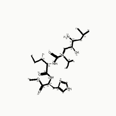 CC[C@H](C)[C@H](NC(=O)N(C[C@H](O)[C@@H](N)CC(C)C)C(C)C)C(=O)N[C@@H](Cc1c[nH]cn1)C(=O)OC